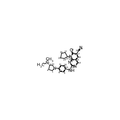 CN(C)[C@H]1CCN(c2ccc(Nc3ncc4cc(C#N)c(=O)n(C5CCCC5)c4n3)cc2)C1